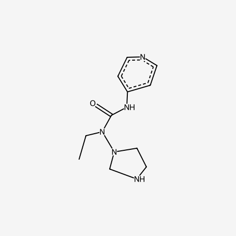 CCN(C(=O)Nc1ccncc1)N1CCNC1